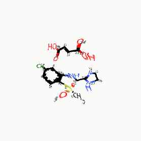 CS(=O)(=O)c1ccc(Cl)cc1NCC1=NCCN1.O=C(O)/C=C/C(=O)O